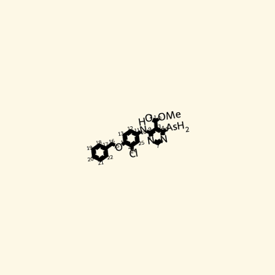 COC(=O)c1c([AsH2])ncnc1Nc1ccc(OCc2ccccc2)c(Cl)c1